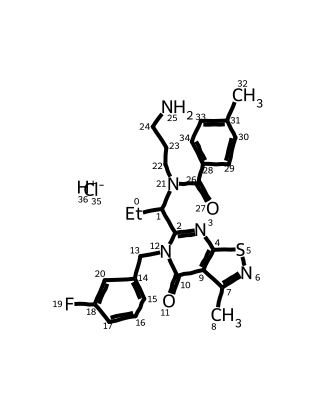 CCC(c1nc2snc(C)c2c(=O)n1Cc1cccc(F)c1)N(CCCN)C(=O)c1ccc(C)cc1.[Cl-].[H+]